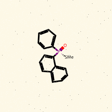 CS[P@@](=O)(c1ccccc1)c1cccc2ccccc12